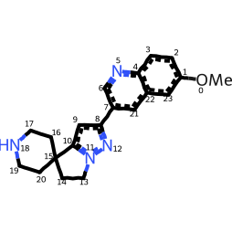 COc1ccc2ncc(-c3cc4n(n3)CCC43CCNCC3)cc2c1